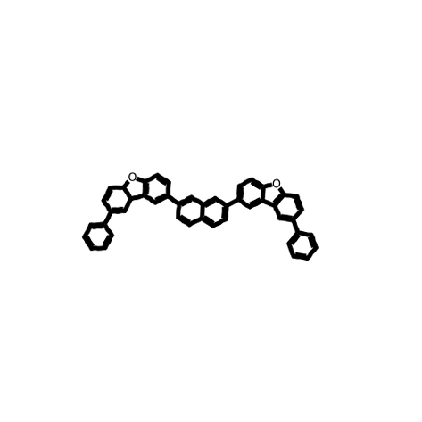 C1=CC2Oc3ccc(-c4ccc5ccc(-c6ccc7oc8ccc(-c9ccccc9)cc8c7c6)cc5c4)cc3C2C=C1c1ccccc1